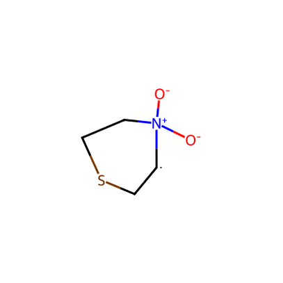 [O-][N+]1([O-])[CH]CSCC1